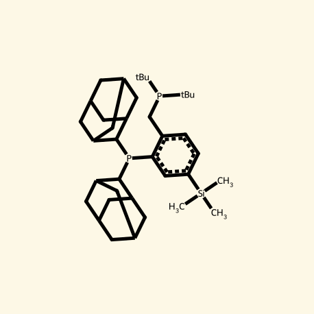 CC(C)(C)P(Cc1ccc([Si](C)(C)C)cc1P(C1C2CC3CC(C2)CC1C3)C1C2CC3CC(C2)CC1C3)C(C)(C)C